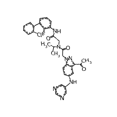 CC(=O)c1nn(CC(=O)N(CC(=O)Nc2cccc(-c3ccccc3Cl)c2F)C(C)C)c2ccc(Nc3cncnc3)cc12